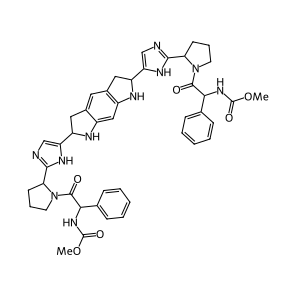 COC(=O)NC(C(=O)N1CCCC1c1ncc(C2Cc3cc4c(cc3N2)NC(c2cnc(C3CCCN3C(=O)C(NC(=O)OC)c3ccccc3)[nH]2)C4)[nH]1)c1ccccc1